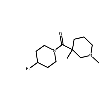 CCC1CCN(C(=O)C2(C)CCCN(C)C2)CC1